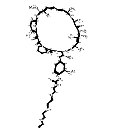 COCCOCCOCCOCCNC(=O)O[C@@H]1CC[C@@H](C[C@@H](N)[C@@H]2CC[C@H](C)/C=C(\C)[C@@H](O)[C@@H](O)C(=O)[C@H](C)C[C@H](C)/C=C/C=C/C=C(\C)[C@@H](OC)C[C@@H]3CC[C@@H](C)[C@@](O)(O3)C(=O)C(=O)N3CCCC[C@H]3C(=O)O2)C[C@H]1OC